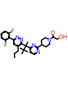 CCCc1cc(-c2c(F)cccc2F)nnc1C(C)(c1ccnc(C2CCN(C(=O)CO)CC2)n1)C(C)(C)C